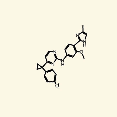 COc1cc(Nc2nccc(C3(c4ccc(Cl)cc4)CC3)n2)ccc1-c1nc(C)c[nH]1